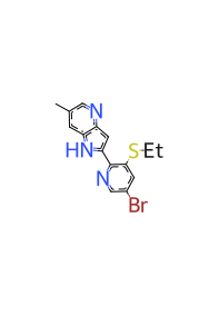 CCSc1cc(Br)cnc1-c1cc2ncc(C)cc2[nH]1